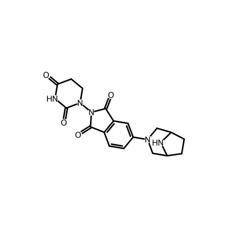 O=C1CCN(N2C(=O)c3ccc(N4CC5CCC(C4)N5)cc3C2=O)C(=O)N1